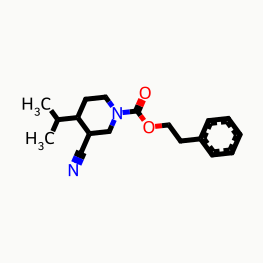 CC(C)C1CCN(C(=O)OCCc2ccccc2)CC1C#N